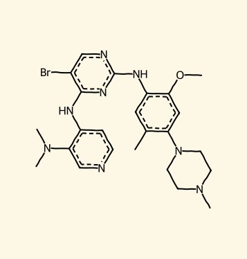 COc1cc(N2CCN(C)CC2)c(C)cc1Nc1ncc(Br)c(Nc2ccncc2N(C)C)n1